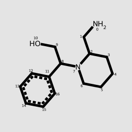 NCC1CCCCN1C(CO)c1ccccc1